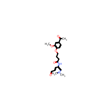 COc1cc(C(C)=O)ccc1OCCCC(=O)NC(/C=C/C=O)=C/N(C)C